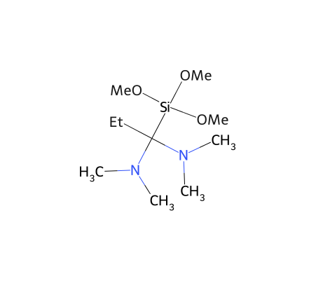 CCC(N(C)C)(N(C)C)[Si](OC)(OC)OC